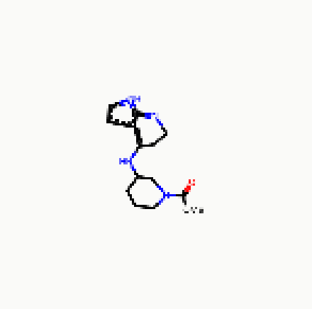 COC(=O)N1CCCC(NC2=c3cc[nH]c3=NCC2)C1